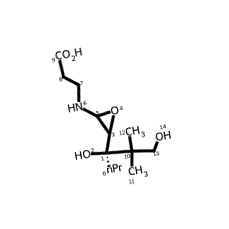 CCC[C@](O)(C1OC1NCCC(=O)O)C(C)(C)CO